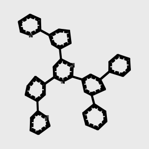 c1ccc(-c2cc(-c3ccccc3)cc(-c3nc(-c4cccc(-c5ccccn5)c4)cc(-c4cccc(-c5ccccn5)c4)n3)c2)cc1